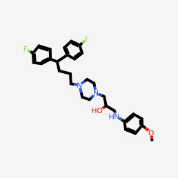 COc1ccc(NCC(O)CN2CCN(CCCC(c3ccc(F)cc3)c3ccc(F)cc3)CC2)cc1